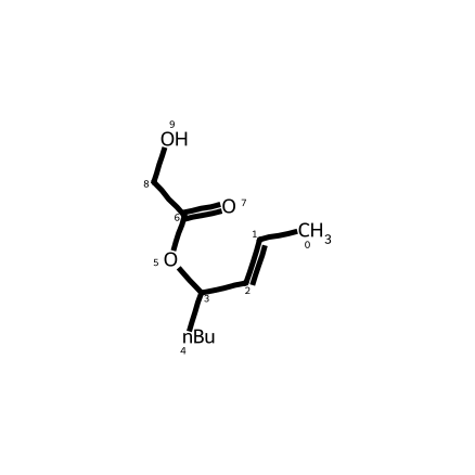 CC=CC(CCCC)OC(=O)CO